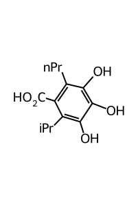 CCCc1c(O)c(O)c(O)c(C(C)C)c1C(=O)O